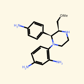 COC[C@H]1NCCN(c2ccc(N)cc2N)[C@H]1c1ccc(N)cc1